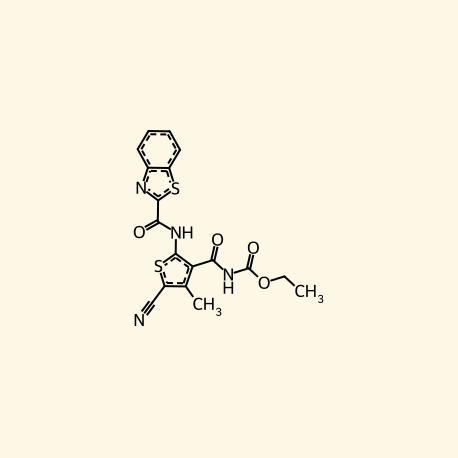 CCOC(=O)NC(=O)c1c(NC(=O)c2nc3ccccc3s2)sc(C#N)c1C